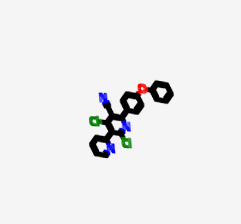 N#Cc1c(-c2ccc(Oc3ccccc3)cc2)nc(Cl)c(-c2ccccn2)c1Cl